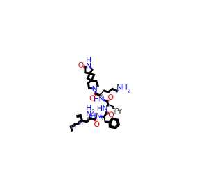 C=C/C(=C\C=C/C)C[C@@H](N)C(=O)N[C@H](Cc1ccccc1)C(=O)N[C@H](CC(C)C)C(=O)N[C@H](CCCCN)C(=O)N1CCC2(CC1)CC1(CNC(=O)C1)C2